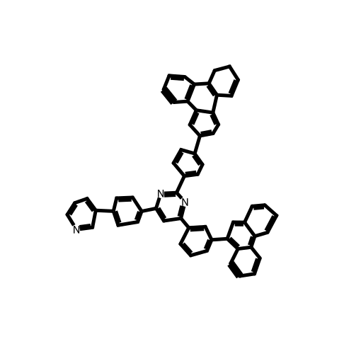 c1ccc2c3c(c4ccc(-c5ccc(-c6nc(-c7ccc(-c8cccnc8)cc7)cc(-c7cccc(-c8cc9ccccc9c9ccc#cc89)c7)n6)cc5)cc4c2c#1)C=CCC3